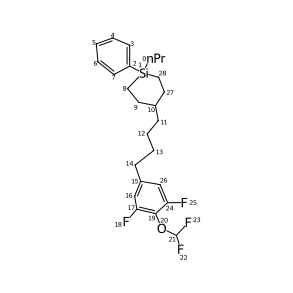 CCC[Si]1(c2ccccc2)CCC(CCCCc2cc(F)c(OC(F)F)c(F)c2)CC1